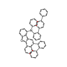 c1ccc(-c2ccc(-c3ccccc3N(c3ccccc3)c3cccc4oc5c6ccccc6c(-c6ccccc6-c6ccccc6)cc5c34)cc2)cc1